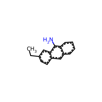 CCc1ccc2cc3ccccc3c(N)c2c1